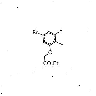 CCOC(=O)COc1cc(Br)cc(F)c1F